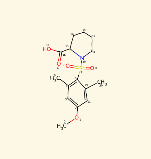 COc1cc(C)c(S(=O)(=O)N2CCCCC2C(=O)O)c(C)c1